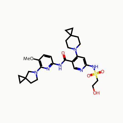 COc1ccc(NC(=O)c2cnc(NS(=O)(=O)CCO)cc2N2CCC3(CC2)CC3)nc1N1CCC2(CC2)C1